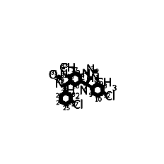 Cn1cnnc1C(N)(c1ccc(Cl)cc1)c1ccc2c(c1)c(-c1cccc(Cl)c1)nc(=O)n2C